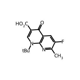 Cc1nc2c(cc1F)c(=O)c(C(=O)O)cn2C(C)(C)C